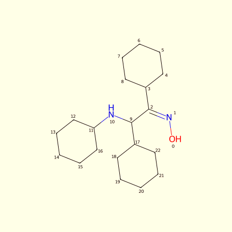 ON=C(C1CCCCC1)C(NC1CCCCC1)C1CCCCC1